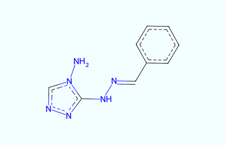 Nn1cnnc1NN=Cc1ccccc1